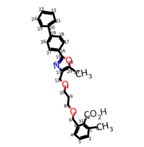 Cc1cccc(COCCCOCc2nc(-c3ccc(-c4ccccc4)cc3)oc2C)c1C(=O)O